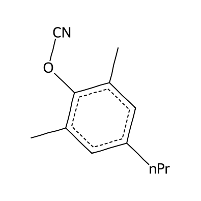 CCCc1cc(C)c(OC#N)c(C)c1